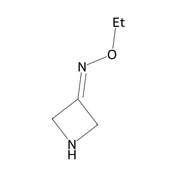 CCON=C1CNC1